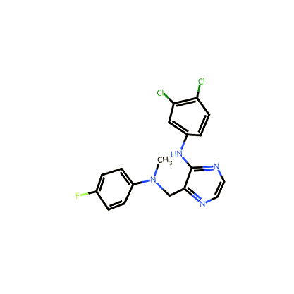 CN(Cc1nccnc1Nc1ccc(Cl)c(Cl)c1)c1ccc(F)cc1